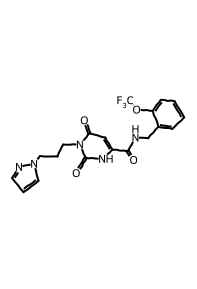 O=C(NCc1ccccc1OC(F)(F)F)c1cc(=O)n(CCCn2cccn2)c(=O)[nH]1